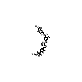 CCc1cc(Nc2nccn3c(-c4ccc(-c5c(C)nn(CCOC)c5C)c(F)c4F)cnc23)ccc1C(=O)NCC1CC[N+](C)(CC(N)=O)CC1